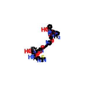 Cc1ncsc1-c1ccc([C@H](C)NC(=O)[C@@H]2C[C@@H](O)CN2C(=O)[C@H](c2cc(OCC#Cc3ccc(OC4CC(Oc5cc(N6C7CC[C@@H]6CN(c6cc(-c8ccccc8O)nnc6N)C7)ccn5)C4)cn3)no2)C(C)C)cn1